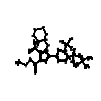 CCOC(=O)c1cc(-c2ccc(S(=O)(=O)NC(C)(C)C)c(C(F)(F)F)c2)n(CC2CCCCC2)c1C(N)=O